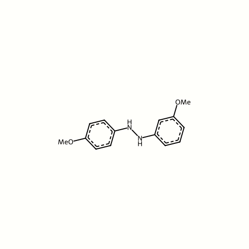 COc1ccc(NNc2cccc(OC)c2)cc1